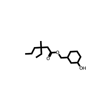 CCCC(C)(CC)CC(=O)OCC1CCCC(O)C1